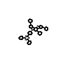 c1ccc(-c2ccc3sc4c(c(-c5ccccc5)cc5c4c4cc(-c6ccccc6)ccc4n5-c4ccc(-c5nc(-c6ccccc6)nc(-c6ccccc6)n5)cc4)c3c2)cc1